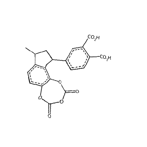 CC1CC(c2ccc(C(=O)O)c(C(=O)O)c2)c2c1ccc1c2OC(=O)OC(=O)O1